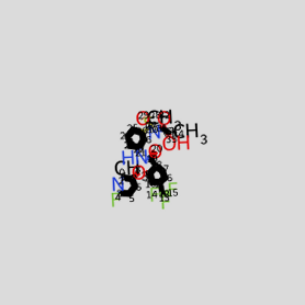 Cc1nc(F)ccc1Oc1cc(C(F)(F)F)ccc1C(=O)Nc1cccc([S@@](C)(=O)=NC(=O)[C@H](C)O)c1